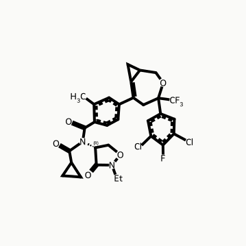 CCN1OC[C@@H](N(C(=O)c2ccc(C3=C4CC4COC(c4cc(Cl)c(F)c(Cl)c4)(C(F)(F)F)C3)cc2C)C(=O)C2CC2)C1=O